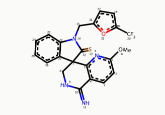 COc1ccc2c(n1)C1(CNC2=N)C(=S)N(Cc2ccc(C(F)(F)F)o2)c2ccccc21